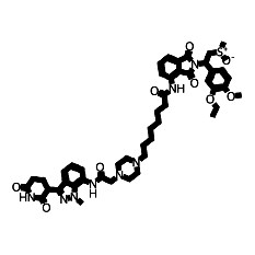 CCOc1cc(C(C[S+](C)[O-])N2C(=O)c3cccc(NC(=O)CCCCCCCN4CCN(CC(=O)Nc5cccc6c(C7CCC(=O)NC7=O)nn(C)c56)CC4)c3C2=O)ccc1OC